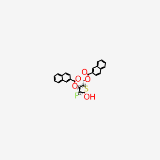 O=C(OC[C@@H]1SC(O)[C@@H](F)[C@@H]1OC(=O)c1ccc2ccccc2c1)c1ccc2ccccc2c1